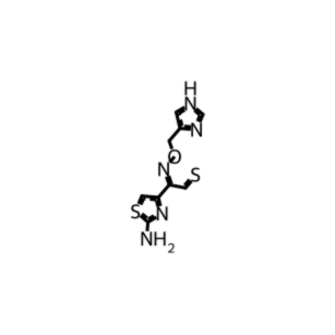 Nc1nc(C(C=S)=NOCc2c[nH]cn2)cs1